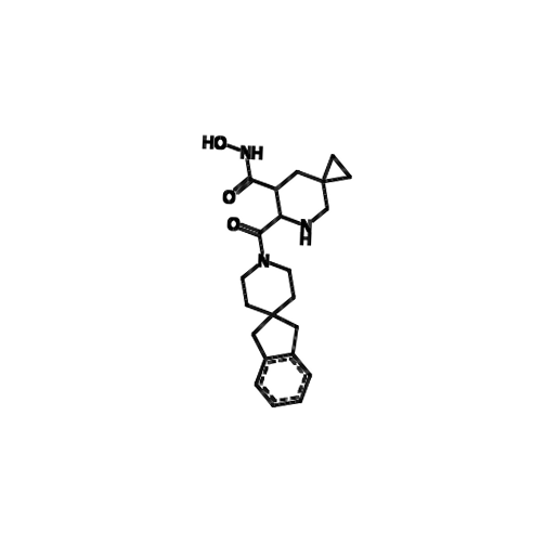 O=C(NO)C1CC2(CC2)CNC1C(=O)N1CCC2(CC1)Cc1ccccc1C2